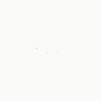 CC(=O)OCC(=O)[C@@]1(O)C(C)C[C@H]2[C@@H]3CC=C4CC(OC(C)=O)CC[C@]4(C)[C@H]3CC[C@@]21C